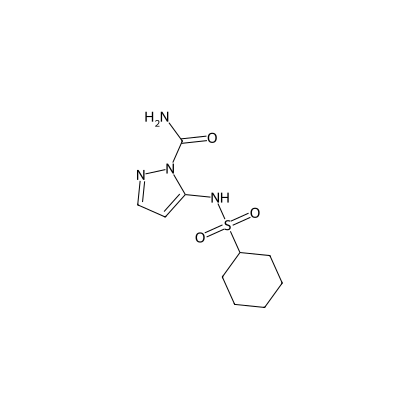 NC(=O)n1nccc1NS(=O)(=O)C1CCCCC1